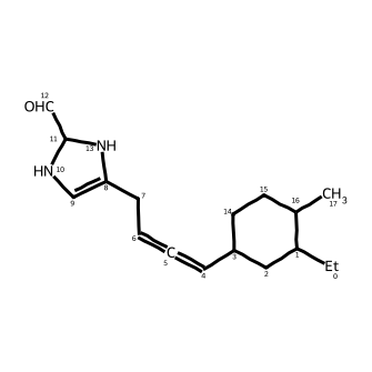 CCC1CC(C=C=CCC2=CNC(C=O)N2)CCC1C